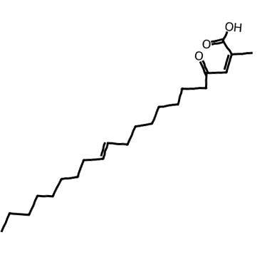 CCCCCCCCC=CCCCCCCCC(=O)C=C(C)C(=O)O